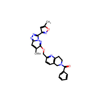 COc1cc2nnc(-c3cc(C)on3)n2nc1OCc1ccc2c(n1)CCN(C(=O)c1ccccc1)C2